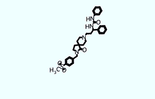 CS(=O)(=O)c1ccc(CN2CCC3(CCN(CCC(NC(=O)Nc4ccccc4)c4ccccc4)CC3)C2=O)cc1